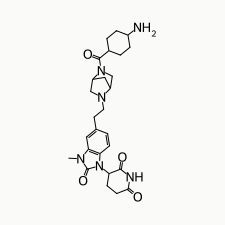 Cn1c(=O)n(C2CCC(=O)NC2=O)c2ccc(CCN3CC4CC3CN4C(=O)C3CCC(N)CC3)cc21